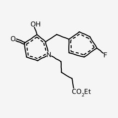 CCOC(=O)CCCn1ccc(=O)c(O)c1Cc1ccc(F)cc1